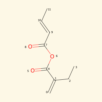 C=C(CC)C(=O)OC(=O)C=CC